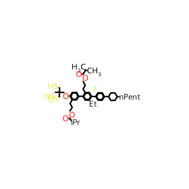 C=C(C)C(=O)OCCCc1cc(-c2ccc(C3CCC(CCCCC)CC3)cc2F)c(CC)cc1-c1ccc(OCC(CS)(CS)CS)c(CCCOC(=O)C(C)C)c1